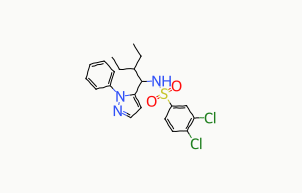 CCC(CC)C(NS(=O)(=O)c1ccc(Cl)c(Cl)c1)c1ccnn1-c1ccccc1